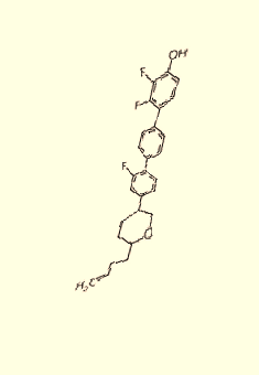 C=CCCC1CCC(c2ccc(-c3ccc(-c4ccc(O)c(F)c4F)cc3)c(F)c2)CO1